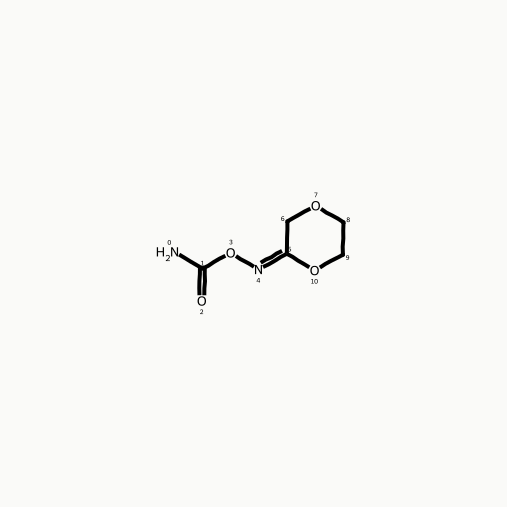 NC(=O)ON=C1COCCO1